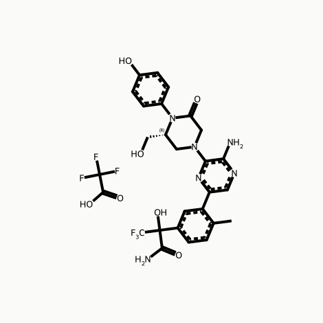 Cc1ccc(C(O)(C(N)=O)C(F)(F)F)cc1-c1cnc(N)c(N2CC(=O)N(c3ccc(O)cc3)[C@@H](CO)C2)n1.O=C(O)C(F)(F)F